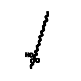 CCCCCCCCCCCCCCCCCCC(O)C(=O)OCCC